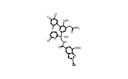 CCOc1c(CC(N)=O)cc([C@@](O)(CNC(=O)c2cc(OC)c3nn(C4CC4)cc3c2)c2cccc(Cl)n2)nc1-c1cc(Cl)c(F)cc1F